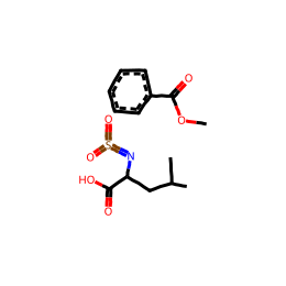 CC(C)CC(N=S(=O)=O)C(=O)O.COC(=O)c1ccccc1